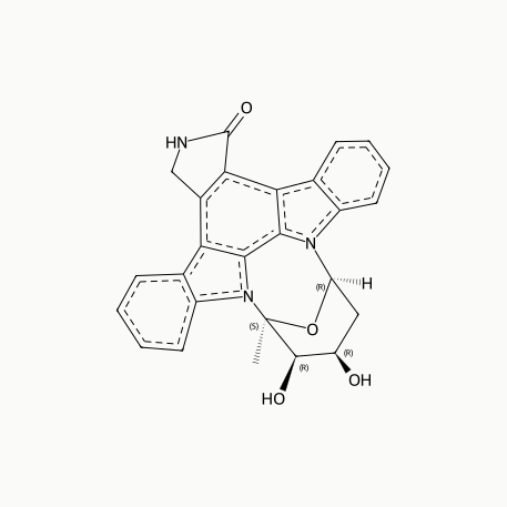 C[C@]12O[C@H](C[C@@H](O)[C@H]1O)n1c3ccccc3c3c4c(c5c6ccccc6n2c5c31)CNC4=O